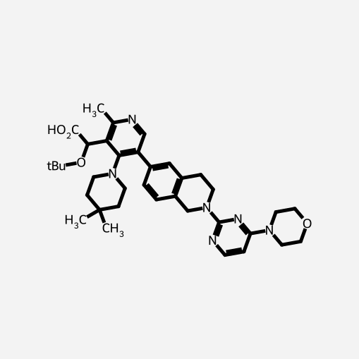 Cc1ncc(-c2ccc3c(c2)CCN(c2nccc(N4CCOCC4)n2)C3)c(N2CCC(C)(C)CC2)c1C(OC(C)(C)C)C(=O)O